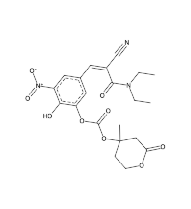 CCN(CC)C(=O)C(C#N)=Cc1cc(OC(=O)OC2(C)CCOC(=O)C2)c(O)c([N+](=O)[O-])c1